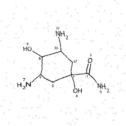 NC(=O)C1(O)CC(N)C(O)C(N)C1